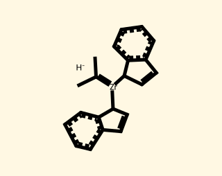 C[C](C)=[Zr]([CH]1C=Cc2ccccc21)[CH]1C=Cc2ccccc21.[H-]